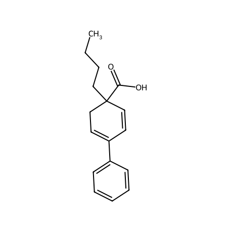 CCCCC1(C(=O)O)C=CC(c2ccccc2)=CC1